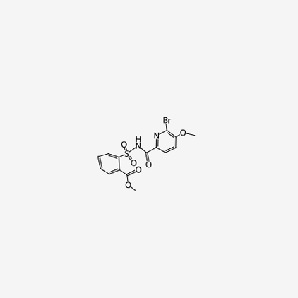 COC(=O)c1ccccc1S(=O)(=O)NC(=O)c1ccc(OC)c(Br)n1